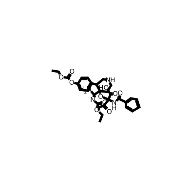 CCOC(=O)N=C(N)C1(OC(NC(=O)c2ccccc2)(C(=O)O)C(=O)CC)CCNCC1c1ccc(OC(=O)OCC)cc1